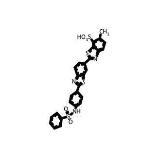 Cc1ccc2nc(-c3ccc4nc(-c5ccc(NS(=O)(=O)c6ccccc6)cc5)sc4c3)sc2c1S(=O)(=O)O